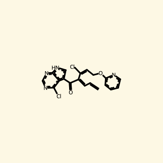 C=C/C=C(C(=O)c1c[nH]c2ncnc(Cl)c12)\C(Cl)=C/COc1ccccn1